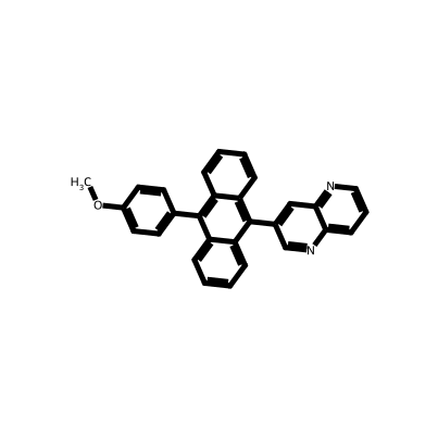 COc1ccc(-c2c3ccccc3c(-c3cnc4cccnc4c3)c3ccccc23)cc1